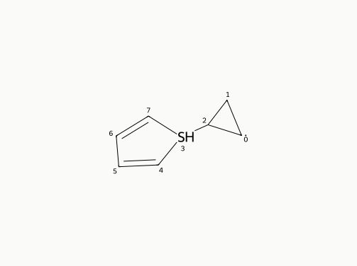 [CH]1CC1[SH]1C=CC=C1